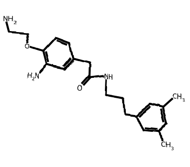 Cc1cc(C)cc(CCCNC(=O)Cc2ccc(OCCN)c(N)c2)c1